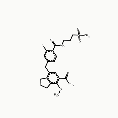 COc1c(C(N)=O)cc(Cc2ccc(C(=O)NCCCS(C)(=O)=O)c(F)c2)c2c1CCC2